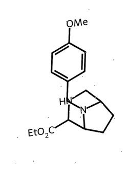 CCOC(=O)C1NCC2CCC1N2Cc1ccc(OC)cc1